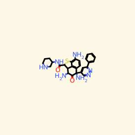 Nc1ccc2c3c1SC(C(=O)NC1CCCNC1)C3C(N)C(=O)C2(N)c1cnnc(-c2ccccc2)c1